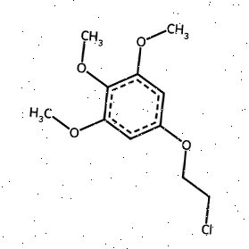 COc1cc(OCCCl)cc(OC)c1OC